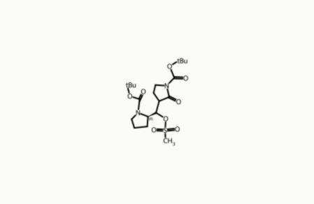 CC(C)(C)OC(=O)N1CCC(C(OS(C)(=O)=O)[C@H]2CCCN2C(=O)OC(C)(C)C)C1=O